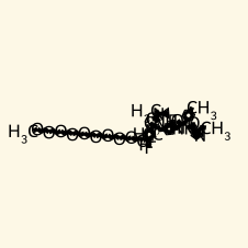 CCn1nccc1C(=O)N[C@H](C(=O)Nc1ccc([C@H](C)[C@@H](NC(=O)N(C)C2CC2)C(=O)N2CCC(OCCOCCOCCOCCOCCOCCOCCOCCOCCOC)(C(F)(F)F)CC2)cc1F)C1CCC(C)CC1